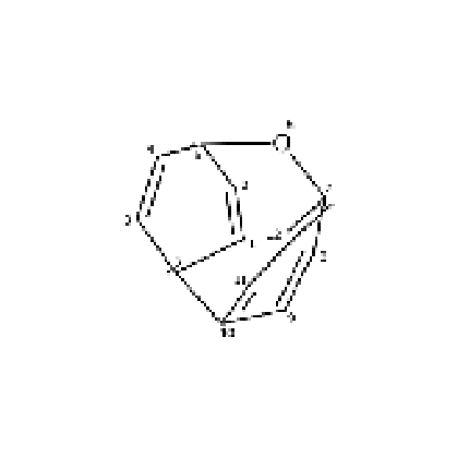 C1=C[C]2C=C[C]1Oc1ccc2cc1